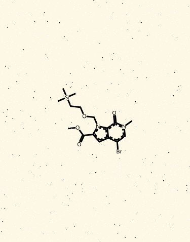 COC(=O)c1cc2c(Br)cn(C)c(=O)c2n1COCC[Si](C)(C)C